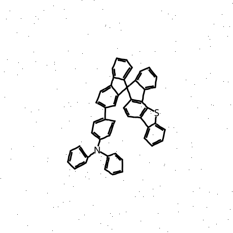 c1ccc(N(c2ccccc2)c2ccc(-c3ccc4c(c3)C3(c5ccccc5-4)c4ccccc4-c4c3ccc3c4sc4ccccc43)cc2)cc1